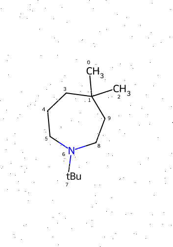 CC1(C)CCCN(C(C)(C)C)CC1